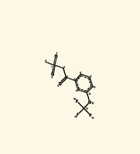 CS(=O)(=O)CC(=O)c1cccc(OC(F)(F)F)c1